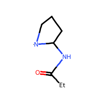 CCC(=O)NC1CCC[N]1